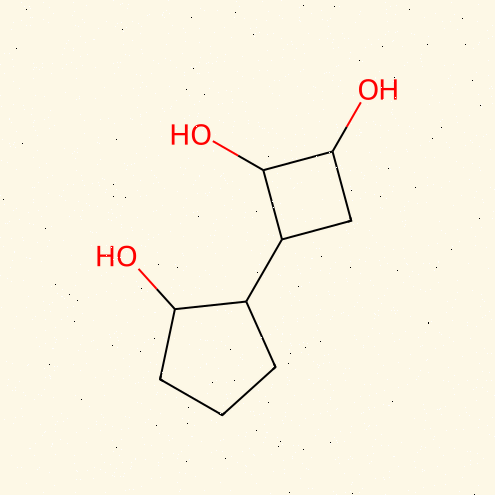 OC1CC(C2CCCC2O)C1O